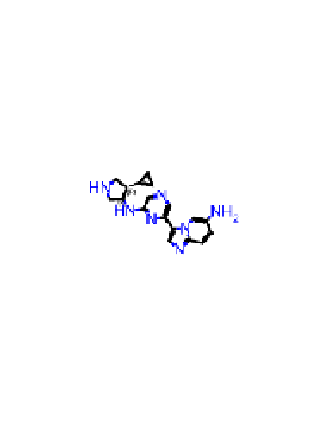 Nc1ccc2ncc(-c3cncc(N[C@H]4CNC[C@H]4C4CC4)n3)n2c1